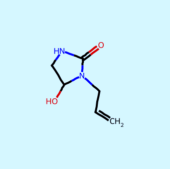 C=CCN1C(=O)NCC1O